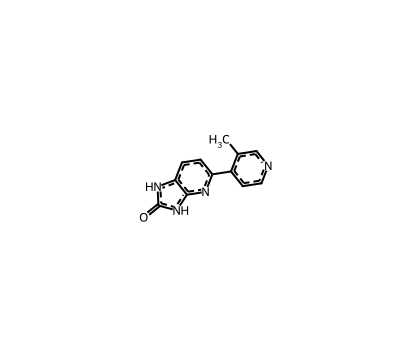 Cc1cnccc1-c1ccc2[nH]c(=O)[nH]c2n1